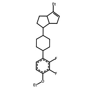 CCOc1ccc(C2CCC(C3CCC4C(CC)=CCC43)CC2)c(F)c1F